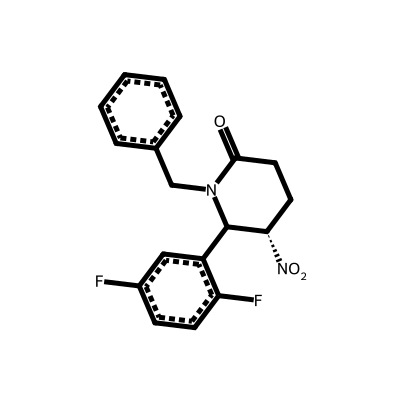 O=C1CC[C@H]([N+](=O)[O-])C(c2cc(F)ccc2F)N1Cc1ccccc1